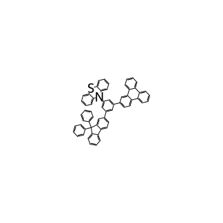 c1ccc(C2(c3ccccc3)c3ccccc3-c3ccc(-c4cc(-c5ccc6c7ccccc7c7ccccc7c6c5)cc(N5c6ccccc6Sc6ccccc65)c4)cc32)cc1